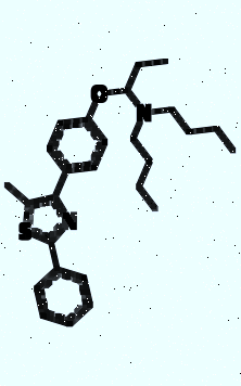 CCCCN(CCCC)C(CC)Oc1ccc(-c2nc(-c3ccccc3)sc2C)cc1